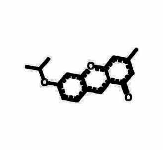 Cc1cc2oc3cc(OC(C)C)ccc3cc-2c(=O)c1